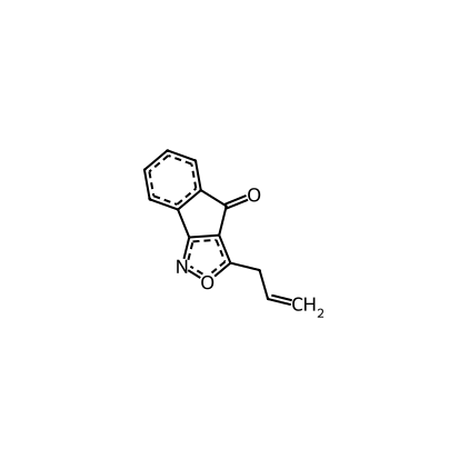 C=CCc1onc2c1C(=O)c1ccccc1-2